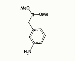 C[O][Ti]([CH2]c1cccc(N)c1)[O]C